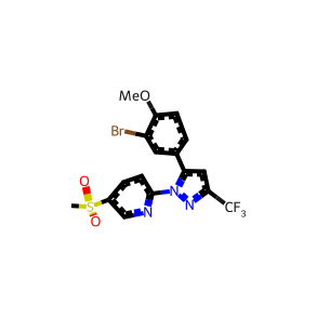 COc1ccc(-c2cc(C(F)(F)F)nn2-c2ccc(S(C)(=O)=O)cn2)cc1Br